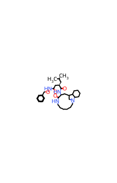 CC(C)C[C@H](CC(=O)NOCc1ccccc1)C(=O)N[C@H]1CC2CN(CCCCCCNC1=O)C1CCCCC21